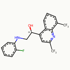 O[C@H](CNc1ccccc1F)c1cc(C(F)(F)F)nc2c(C(F)(F)F)cccc12